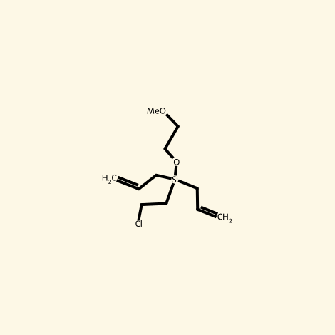 C=CC[Si](CC=C)(CCCl)OCCOC